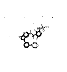 CCCS(=O)(=O)Nc1ccc(F)c(C(=O)Nc2cnc3[nH]cc(-c4cccc(N5CCOCC5)c4)c3c2)c1F